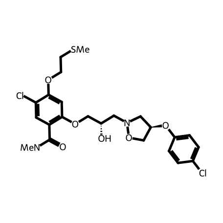 CNC(=O)c1cc(Cl)c(OCCSC)cc1OC[C@@H](O)CN1C[C@@H](Oc2ccc(Cl)cc2)CO1